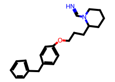 N=CN1CCCCC1CCCOc1ccc(Cc2ccccc2)cc1